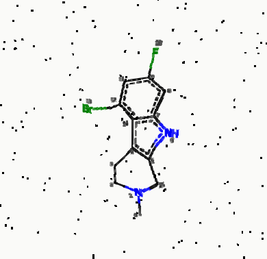 CN1CCc2c([nH]c3cc(F)cc(Br)c23)C1